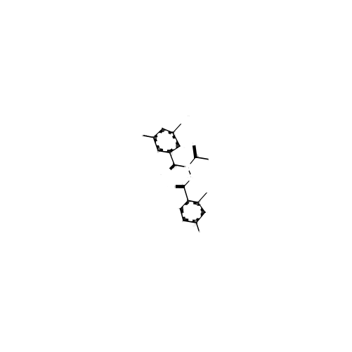 C=C(C)N(NC(=O)c1ccc(CC)cc1F)C(=O)c1cc(Cl)cc(Cl)c1